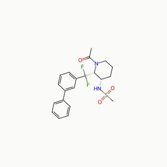 CC(=O)N1CCC[C@H](NS(C)(=O)=O)[C@@H]1C(F)(F)c1cccc(-c2ccccc2)c1